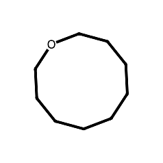 C1CCCCOCCCC1